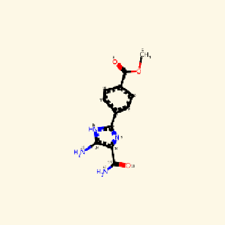 COC(=O)c1ccc(-c2nc(C(N)=O)c(N)[nH]2)cc1